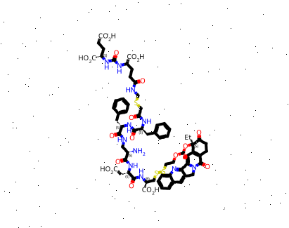 CC[C@@]1(OC(=O)OCCSSC[C@H](NC(=O)[C@H](CC(=O)O)NC(=O)[C@@H](N)CNC(=O)[C@H](Cc2ccccc2)NC(=O)[C@H](Cc2ccccc2)NC(=O)CSCNC(=O)CCC(NC(=O)N[C@@H](CCC(=O)O)C(=O)O)C(=O)O)C(=O)O)C(=O)CCc2c1cc1n(c2=O)Cc2cc3ccccc3nc2-1